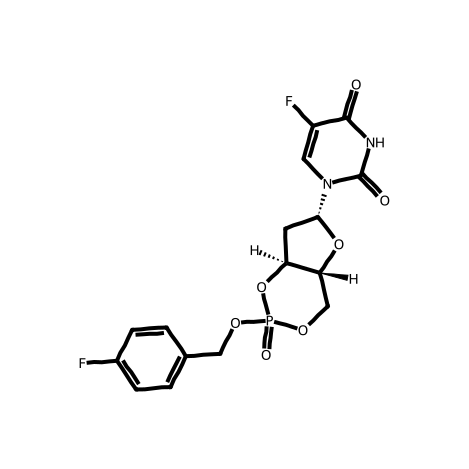 O=c1[nH]c(=O)n([C@H]2C[C@@H]3OP(=O)(OCc4ccc(F)cc4)OC[C@H]3O2)cc1F